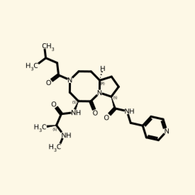 CN[C@@H](C)C(=O)N[C@H]1CN(C(=O)CC(C)C)CC[C@H]2CC[C@@H](C(=O)NCc3ccncc3)N2C1=O